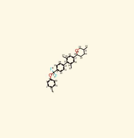 Cc1ccc(OC(F)(F)c2ccc(-c3c(C)cc(C4CCC(C)CO4)cc3C)cc2)cc1